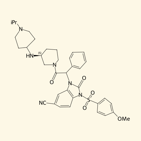 COc1ccc(S(=O)(=O)n2c(=O)n(C(C(=O)N3CCC[C@H](NC4CCN(C(C)C)CC4)C3)c3ccccc3)c3cc(C#N)ccc32)cc1